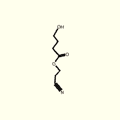 N#CCCOC(=O)CCCO